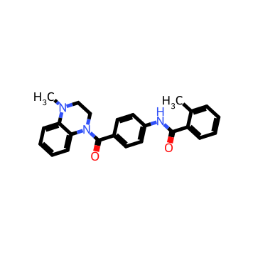 Cc1ccccc1C(=O)Nc1ccc(C(=O)N2CCN(C)c3ccccc32)cc1